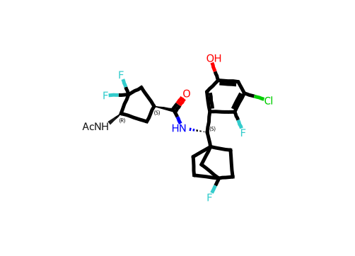 CC(=O)N[C@@H]1C[C@H](C(=O)N[C@H](c2cc(O)cc(Cl)c2F)C23CCC(F)(CC2)C3)CC1(F)F